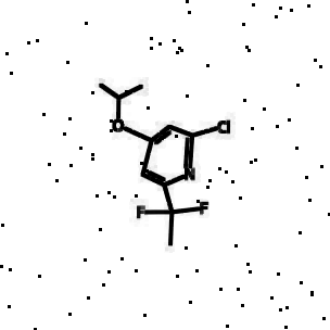 CC(C)Oc1cc(Cl)nc(C(C)(F)F)c1